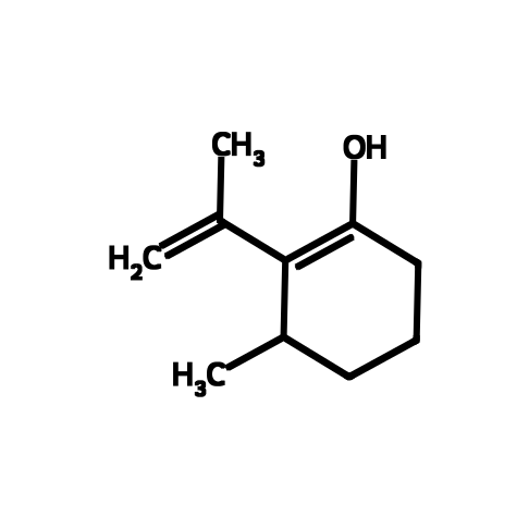 C=C(C)C1=C(O)CCCC1C